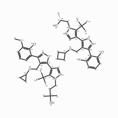 COc1cccc(-c2noc(-c3cnn(CCC(C)(C)O)c3C(F)(F)F)c2COC2CC2)c1Cl.C[C@@H](O)Cn1ncc(-c2onc(-c3c(F)cccc3Cl)c2COC2CCC2)c1C(F)(F)F